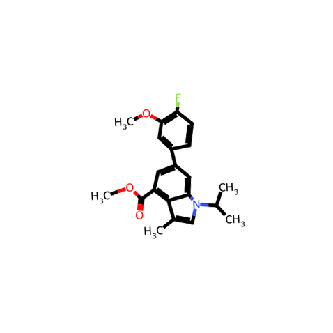 COC(=O)c1cc(-c2ccc(F)c(OC)c2)cc2c1c(C)cn2C(C)C